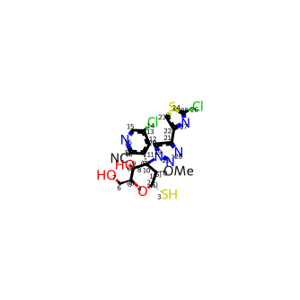 CO[C@@H]1[C@H](S)O[C@@H](CO)[C@@H](O)[C@@]1(c1cc(Cl)cnc1C#N)n1cc(-c2csc(Cl)n2)nn1